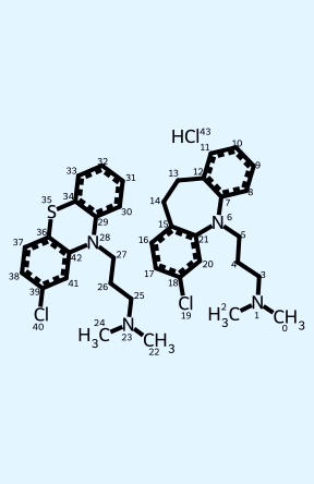 CN(C)CCCN1c2ccccc2CCc2ccc(Cl)cc21.CN(C)CCCN1c2ccccc2Sc2ccc(Cl)cc21.Cl